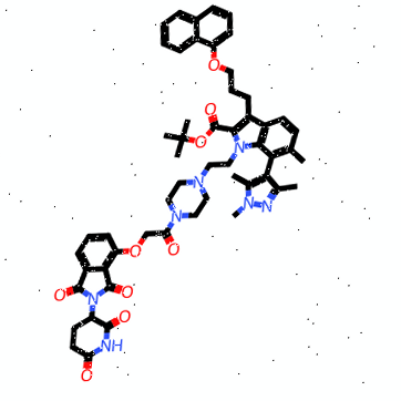 Cc1ccc2c(CCCOc3cccc4ccccc34)c(C(=O)OC(C)(C)C)n(CCN3CCN(C(=O)COc4cccc5c4C(=O)N(C4CCC(=O)NC4=O)C5=O)CC3)c2c1-c1c(C)nn(C)c1C